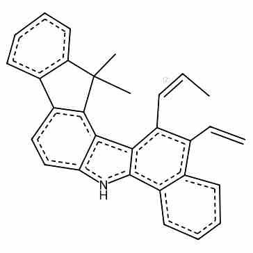 C=Cc1c(/C=C\C)c2c([nH]c3ccc4c(c32)C(C)(C)c2ccccc2-4)c2ccccc12